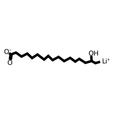 CCC(O)CCCCCCCCCCCCCCC(=O)[O-].[Li+]